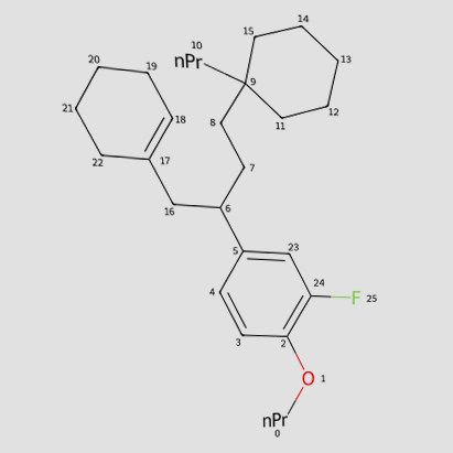 CCCOc1ccc(C(CCC2(CCC)CCCCC2)CC2=CCCCC2)cc1F